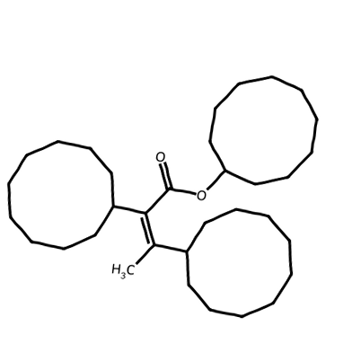 CC(=C(C(=O)OC1CCCCCCCCC1)C1CCCCCCCCC1)C1CCCCCCCCC1